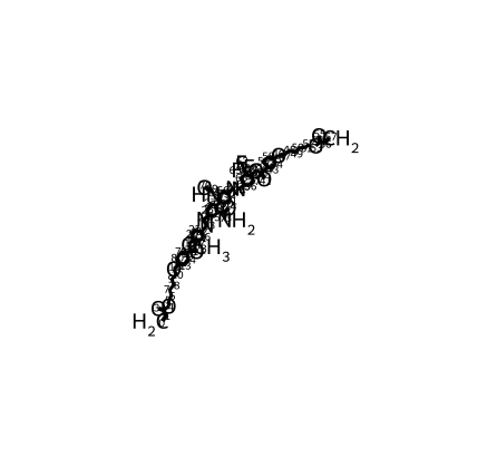 C=CC(=O)OCCCCCCOc1ccc(C(=O)Oc2ccc(N=Nc3ccc(-c4ccc(N=Nc5ccc(OC(=O)c6ccc(OCCCCCCOC(=O)C=C)cc6)c(C(F)(F)F)c5)cc4NC=O)c(C(N)=O)c3)cc2C)cc1